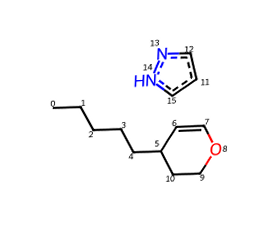 CCCCCC1C=COCC1.c1cn[nH]c1